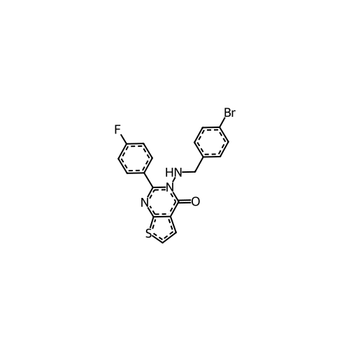 O=c1c2ccsc2nc(-c2ccc(F)cc2)n1NCc1ccc(Br)cc1